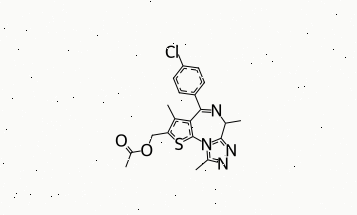 CC(=O)OCc1sc2c(c1C)C(c1ccc(Cl)cc1)=NC(C)c1nnc(C)n1-2